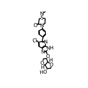 C/N=S1\CCN(c2ccc(-c3nc4[nH]c(O[C@@H]5CO[C@H]6[C@@H]5OC[C@H]6O)nc4cc3Cl)cc2)C(=O)C1